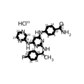 C[C@H](Nc1nc(Nc2ccc(C(N)=O)cc2)cc(Nc2cnccn2)n1)c1ccc(F)cc1.Cl